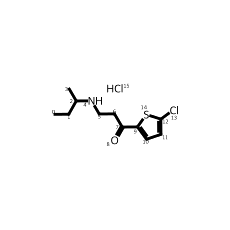 CCC(C)NCCC(=O)c1ccc(Cl)s1.Cl